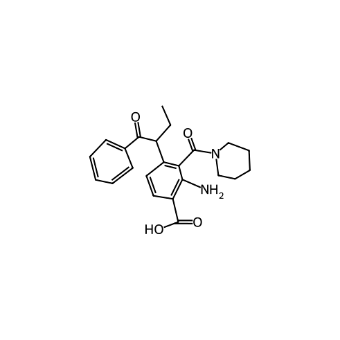 CCC(C(=O)c1ccccc1)c1ccc(C(=O)O)c(N)c1C(=O)N1CCCCC1